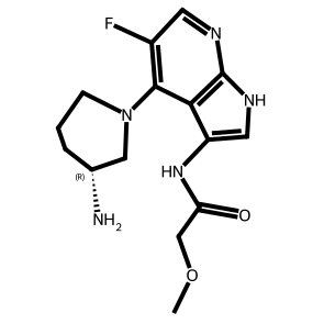 COCC(=O)Nc1c[nH]c2ncc(F)c(N3CCC[C@@H](N)C3)c12